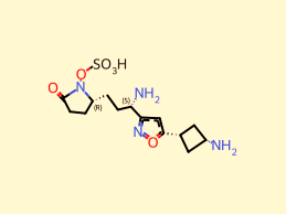 N[C@@H](CC[C@@H]1CCC(=O)N1OS(=O)(=O)O)c1cc([C@H]2C[C@@H](N)C2)on1